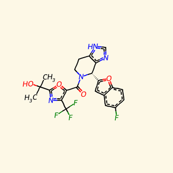 CC(C)(O)c1nc(C(F)(F)F)c(C(=O)N2CCc3[nH]cnc3[C@@H]2c2cc3cc(F)ccc3o2)o1